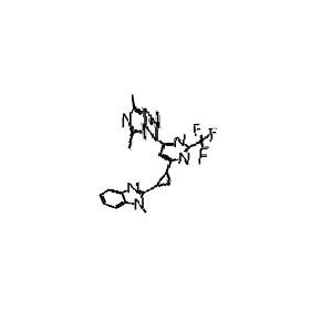 Cc1nc(C)n(-c2cc(C3CC3c3nc4ccccc4n3C)nc(C(F)(F)F)n2)n1